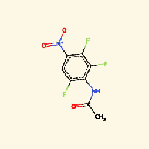 CC(=O)Nc1c(F)cc([N+](=O)[O-])c(F)c1F